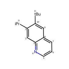 CC(C)c1cc2ncccc2cc1C(C)(C)C